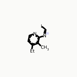 CCc1ccnc(/N=C\I)c1C